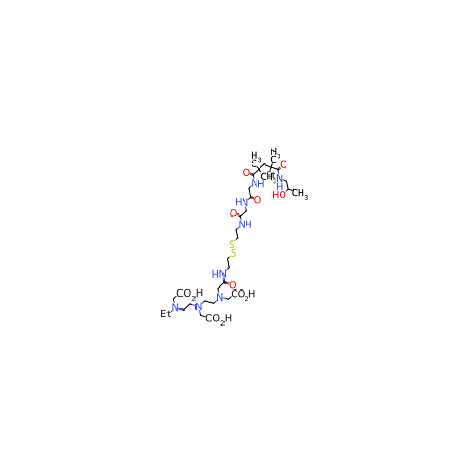 CCN(CCN(CCN(CC(=O)O)CC(=O)NCCSSCCNC(=O)CNC(=O)CNC(=O)C(C)(C)CC(C)(CC)C(=O)NCC(C)O)CC(=O)O)CC(=O)O